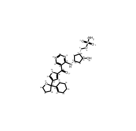 NS(=O)(=O)OC[C@H]1C[C@@H](Nc2ncncc2C(=O)c2cc(C3(C4=CCCCC4)CCCO3)cs2)C[C@@H]1O